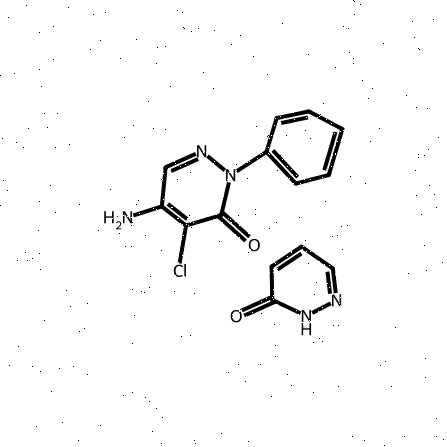 Nc1cnn(-c2ccccc2)c(=O)c1Cl.O=c1cccn[nH]1